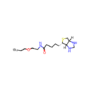 CC(C)(C)CCOCCNC(=O)CCCC[C@@H]1SC[C@@H]2NCN[C@@H]21